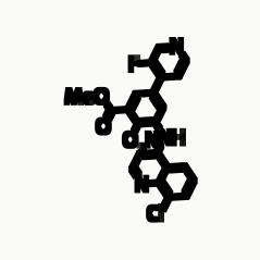 COC(=O)c1cc(-c2ccncc2F)cc(Nc2ccnc3c(Cl)cccc23)c1[N+](=O)[O-]